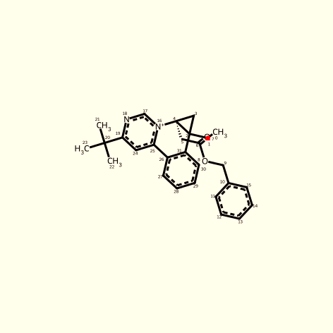 CCC12C[C@]1(CC(=O)OCc1ccccc1)[n+]1cnc(C(C)(C)C)cc1-c1ccccc12